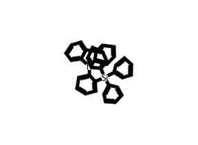 c1ccc([Si](c2ccccc2)(c2ccccc2)c2ccccc2-n2c3ccccc3c3ccccc32)cc1